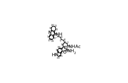 CC(=O)NCCC(CCCCNc1c2c(nc3ccccc13)CCCC2)CC(OC(N)=O)c1ccc2[nH]ccc2c1